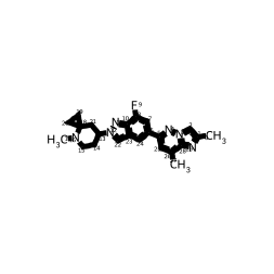 Cc1cn2nc(-c3cc(F)c4nn(C5CCN(C)C6(CC6)C5)cc4c3)cc(C)c2n1